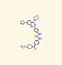 CN1CCN(C(=O)c2ccc(NC(=O)Nc3ccc(-c4nc(N5CCOCC5)c5ccc(C6C=CSC6)cc5n4)cc3)cc2)CC1